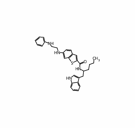 CCCCC(Cc1c[nH]c2ccccc12)NC(=O)c1cc2ccc(NCCNc3ccccc3)cc2s1